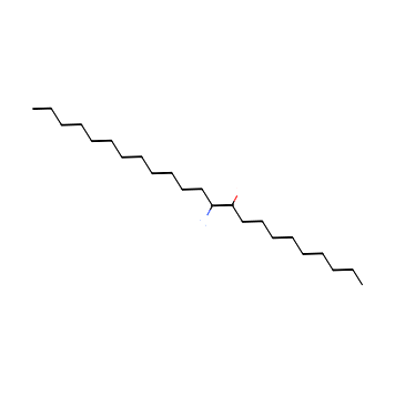 CCCCCCCCCCCCC(N)C(O)CCCCCCCCC